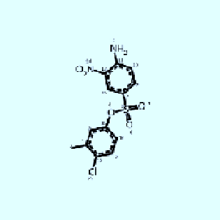 Cc1cc(OS(=O)(=O)c2ccc(N)c([N+](=O)[O-])c2)ccc1Cl